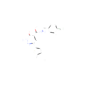 O=C(O)c1ccc(-c2cc(C(=O)NCc3ccc(Cl)cc3)c(=O)[nH]n2)s1